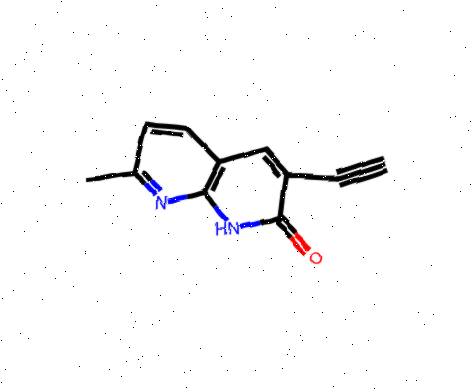 C#Cc1cc2ccc(C)nc2[nH]c1=O